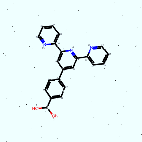 OB(O)c1ccc(-c2cc(-c3ccccn3)nc(-c3ccccn3)c2)cc1